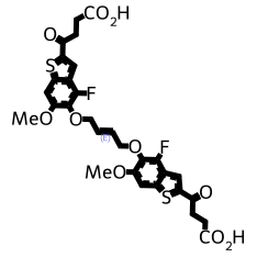 COc1cc2sc(C(=O)CCC(=O)O)cc2c(F)c1OC/C=C/COc1c(OC)cc2sc(C(=O)CCC(=O)O)cc2c1F